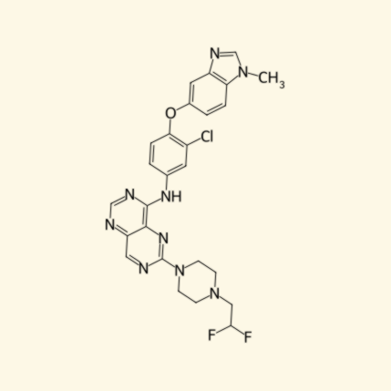 Cn1cnc2cc(Oc3ccc(Nc4ncnc5cnc(N6CCN(CC(F)F)CC6)nc45)cc3Cl)ccc21